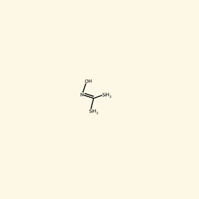 ON=C([SiH3])[SiH3]